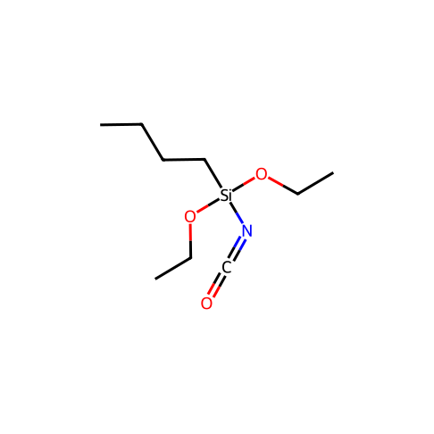 CCCC[Si](N=C=O)(OCC)OCC